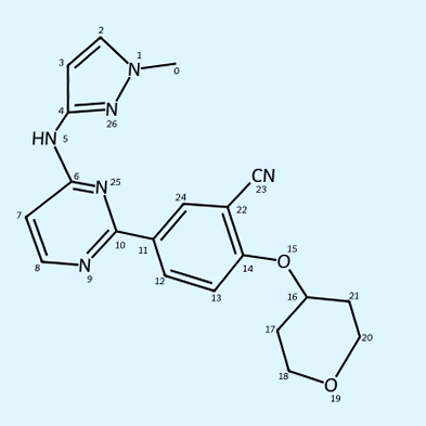 Cn1ccc(Nc2ccnc(-c3ccc(OC4CCOCC4)c(C#N)c3)n2)n1